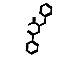 C=C(CC(Cc1ccccc1)NC)c1ccccc1